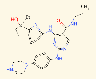 C=CCNC(=O)c1cnc(Nc2ccc(N3CCNCC3)cc2)nc1Nc1ccc2c(n1)[C@@](O)(CC)CC2